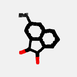 CNc1cc2c3c(cccc3c1)C(=O)C2=O